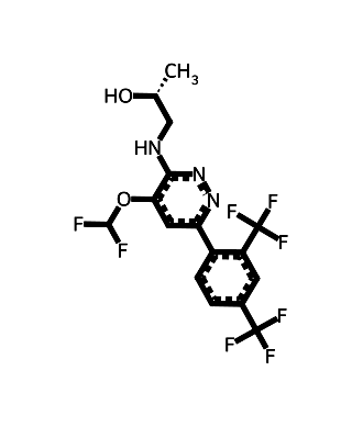 C[C@@H](O)CNc1nnc(-c2ccc(C(F)(F)F)cc2C(F)(F)F)cc1OC(F)F